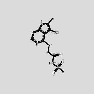 Cc1sc2ncnc(SCC(=O)NS(C)(=O)=O)c2c1Cl